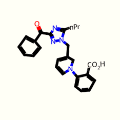 CCCc1nc(C(=O)c2ccccc2)nn1CC1=CC=CN(c2ccccc2C(=O)O)C1